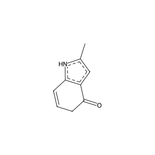 Cc1cc2c([nH]1)C=CCC2=O